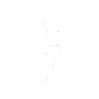 CCOC(=O)c1cn2ccc([N+](=O)[O-])cc2n1